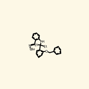 CCC(CC)(Pc1ccccc1/C=N/C(C)(C)C)c1ccccc1OCc1ccccc1